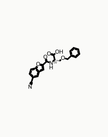 N#Cc1ccc2oc(C(=O)N[C@@H](COCc3ccccc3)C(=O)O)cc2c1